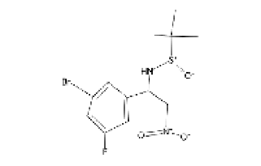 CC(C)(C)[S@+]([O-])NC(C[N+](=O)[O-])c1cc(F)cc(Br)c1